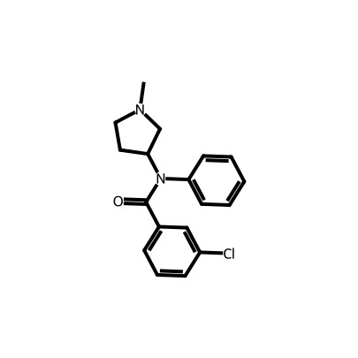 CN1CCC(N(C(=O)c2cccc(Cl)c2)c2ccccc2)C1